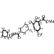 COC(=O)c1cc(Cl)cc(O[C@H]2CC[C@H](C(=O)NCc3ccccc3)CC2)c1C